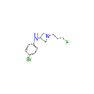 FCCCN1CC(Nc2ccc(Br)cc2)C1